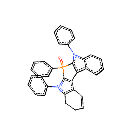 O=P1(c2ccccc2)c2c(c3c(n2-c2ccccc2)CCC=C3)-c2c1n(-c1ccccc1)c1ccccc21